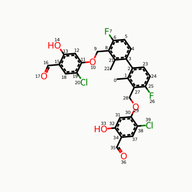 Cc1c(-c2ccc(F)c(COc3cc(O)c(C=O)cc3Cl)c2C)ccc(F)c1COc1cc(O)c(C=O)cc1Cl